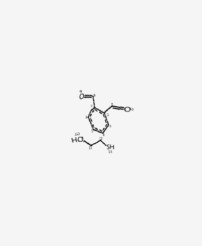 O=Cc1ccccc1C=O.OCCS